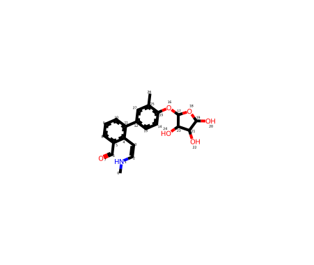 CN/C=C\c1c(C=O)cccc1-c1ccc(OC2OC(O)C(O)C2O)c(C)c1